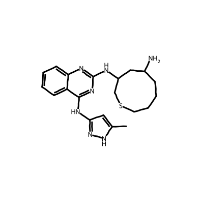 Cc1cc(Nc2nc(NC3CSCCCCC(N)C3)nc3ccccc23)n[nH]1